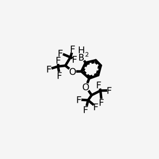 Bc1cccc(OC(C(F)(F)F)C(F)(F)F)c1OC(C(F)(F)F)C(F)(F)F